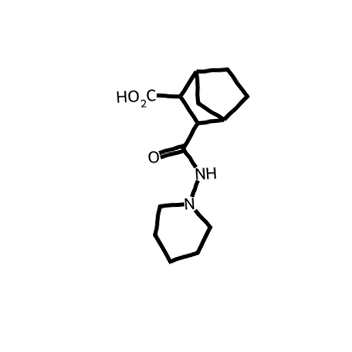 O=C(O)C1C2CCC(C2)C1C(=O)NN1CCCCC1